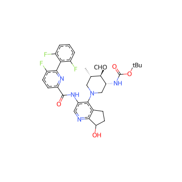 C[C@H]1CN(c2c(NC(=O)c3ccc(F)c(-c4c(F)cccc4F)n3)cnc3c2CCC3O)C[C@@H](NC(=O)OC(C)(C)C)[C@@H]1C=O